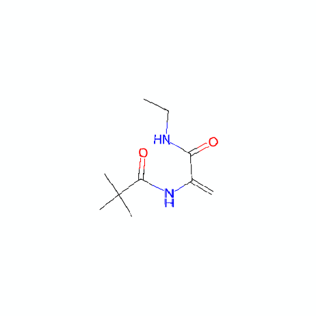 C=C(NC(=O)C(C)(C)C)C(=O)NCC